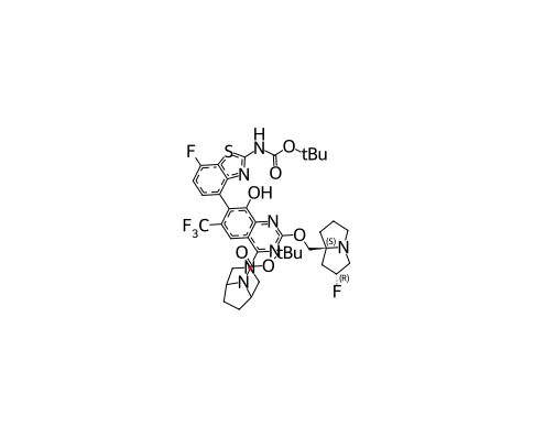 CC(C)(C)OC(=O)Nc1nc2c(-c3c(C(F)(F)F)cc4c(N5CC6CCC(C5)N6C(=O)OC(C)(C)C)nc(OC[C@@]56CCCN5C[C@H](F)C6)nc4c3O)ccc(F)c2s1